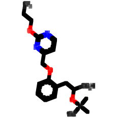 CC(C)(C)[Si](C)(C)OC(Cc1ccccc1OCc1ccnc(OCCC(F)(F)F)n1)C(=O)O